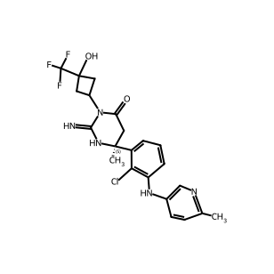 Cc1ccc(Nc2cccc([C@]3(C)CC(=O)N(C4CC(O)(C(F)(F)F)C4)C(=N)N3)c2Cl)cn1